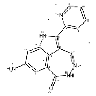 Nc1cc2c3c(c(-c4ccccn4)[nH]c3c1)C=NNC2=O